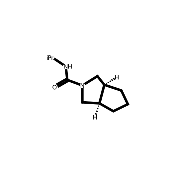 CC(C)NC(=O)N1C[C@H]2CCC[C@H]2C1